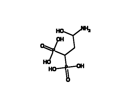 NC(O)CC(P(=O)(O)O)P(=O)(O)O